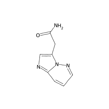 NC(=O)Cc1cnc2cccnn12